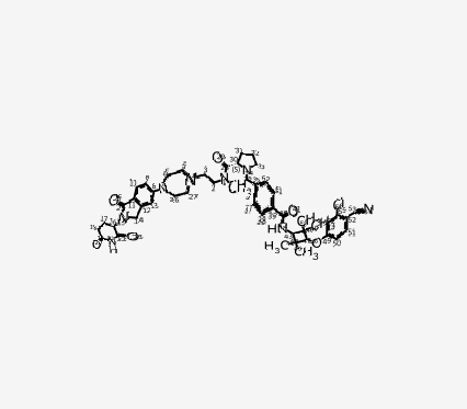 CN(CCN1CCN(c2ccc3c(c2)CN(C2CCC(=O)NC2=O)C3=O)CC1)C(=O)[C@@H]1CCCN1Cc1ccc(C(=O)NC2C(C)(C)C(Oc3ccc(C#N)c(Cl)c3)C2(C)C)cc1